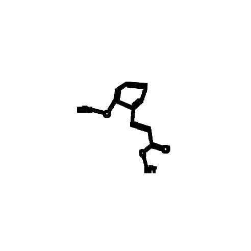 CCCCOc1ccccc1C=CC(=O)OCCC